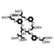 CNC(C)C(NCC(COc1cccc(OCCC(OC)OC)c1)OCC(COc1cccc(OCC(COC)OC)c1)OCC(COc1cccc(OCCC(COC)OC)c1)OC)C(C)NC